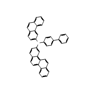 c1ccc(-c2ccc(N(c3ccc4ccc5ccccc5c4c3)c3ccc4ccc5c6ccccc6ccc5c4c3)cc2)cc1